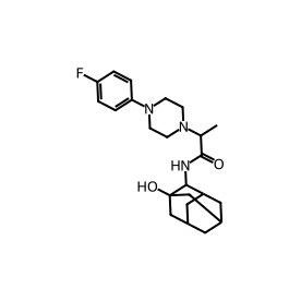 CC(C(=O)NC1C2CC3CC(C2)CC1(O)C3)N1CCN(c2ccc(F)cc2)CC1